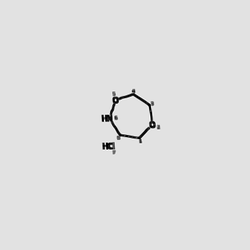 C1COCCON1.Cl